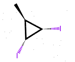 C[C@@H]1[C@@H](I)[C@H]1I